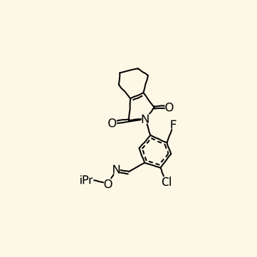 CC(C)ON=Cc1cc(N2C(=O)C3=C(CCCC3)C2=O)c(F)cc1Cl